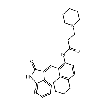 O=C(CCN1CCCCC1)Nc1ccc2c(c1C=C1C(=O)Nc3ncccc31)CCCC2